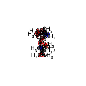 COc1ccc(CC(C)c2cc(OC)c(OC)cc2CCN(C)CCCOC(=O)/C=C\C(=O)OCCC[N+]2(C)CCc3cc(OC)c(OC)c(Cc4cc(OC)c(OC)c(OC)c4)c3C2)cc1OC